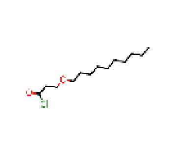 CCCCCCCCCCOCCC(=O)Cl